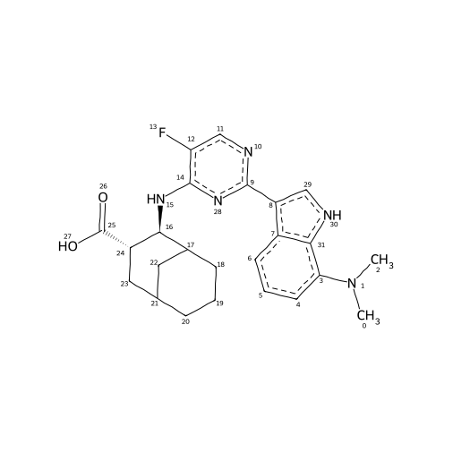 CN(C)c1cccc2c(-c3ncc(F)c(N[C@H]4C5CCCC(C5)C[C@@H]4C(=O)O)n3)c[nH]c12